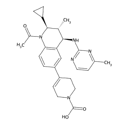 CC(=O)N1c2ccc(C3=CCN(C(=O)O)CC3)cc2[C@H](Nc2nccc(C)n2)[C@@H](C)[C@@H]1C1CC1